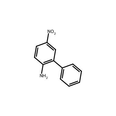 Nc1ccc([N+](=O)[O-])cc1-c1ccccc1